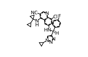 [2H]C(Nc1cc(Cl)c2ncc(C#N)c(NC3(C4CC4)CC3)c2c1)(c1ccc(F)cc1)c1cn(C2CC2)nn1